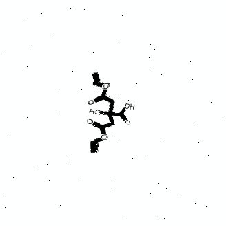 C=COC(=O)CC(O)(CC(=O)OC=C)C(=O)O